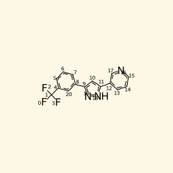 FC(F)(F)c1cccc(-c2cc(-c3cccnc3)[nH]n2)c1